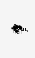 Cn1cnc(S(=O)(=O)NCc2ccc3c(c2)[C@@H](Cc2ccccc2)[C@@H](NCC2CC2)CO3)c1.O=C(O)C(F)(F)F